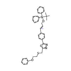 CC(C)(C)[Si](OC/C=C/c1ccc(-c2nnc(CSCCOc3ccccc3)o2)cc1)(c1ccccc1)c1ccccc1